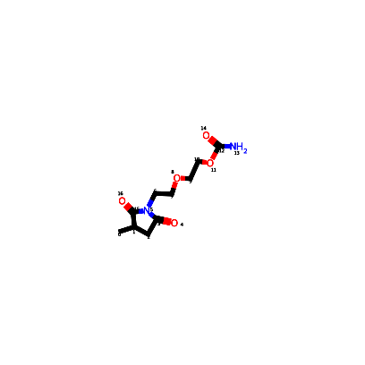 CC1CC(=O)N(CCOCCOC(N)=O)C1=O